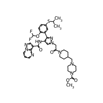 COC(=O)N1CCN(CC2CCN(C(=O)Cn3cc(NC(=O)c4cnn5cccnc45)c(-c4cc(SC(C)C)ccc4OC(F)F)n3)CC2)CC1